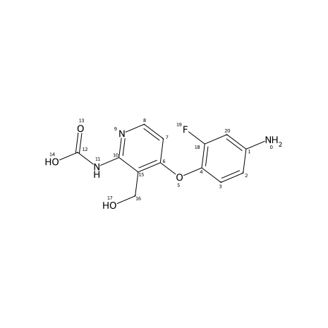 Nc1ccc(Oc2ccnc(NC(=O)O)c2CO)c(F)c1